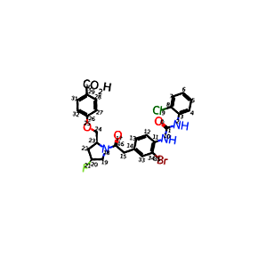 O=C(Nc1ccccc1Cl)Nc1ccc(CC(=O)N2C[C@@H](F)C[C@H]2COc2ccc(C(=O)O)cc2)cc1Br